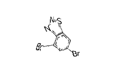 Brc1cc(Br)c2nnsc2c1